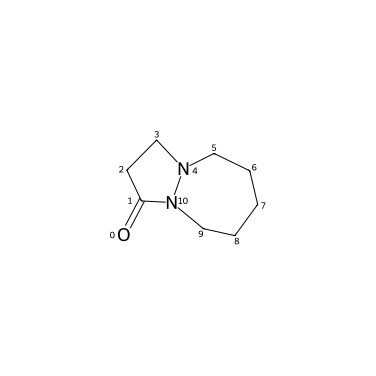 O=C1CCN2CCCCCN12